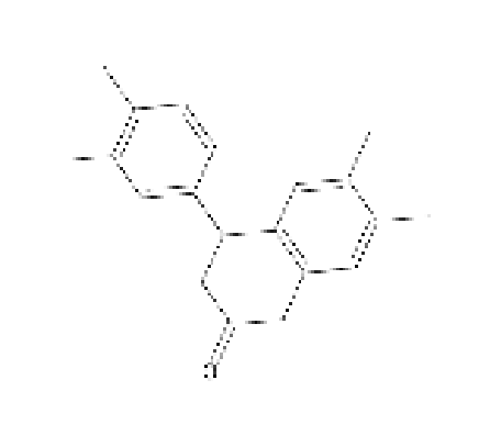 Cc1ccc(C2CC(=O)Cc3cc(C)c(C)cc32)cc1C